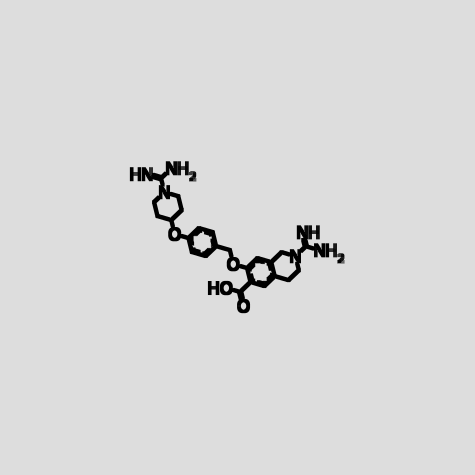 N=C(N)N1CCC(Oc2ccc(COc3cc4c(cc3C(=O)O)CCN(C(=N)N)C4)cc2)CC1